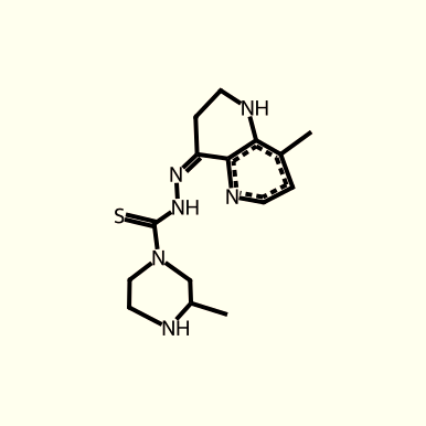 Cc1ccnc2c1NCC/C2=N/NC(=S)N1CCNC(C)C1